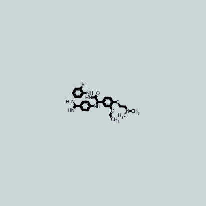 CCOc1cc(C(Nc2ccc(C(=N)N)cc2)C(=O)NNc2ccccc2Br)ccc1OCCN(C)C